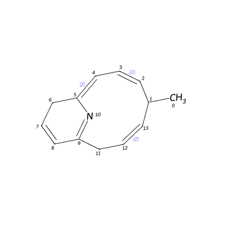 CC1/C=C\C=C2\CC=CC(=N2)C/C=C\1